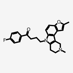 Cc1cc2c(ccc3c2c2c(n3CCCC(=O)c3ccc(F)cc3)CCN(C)C2)o1